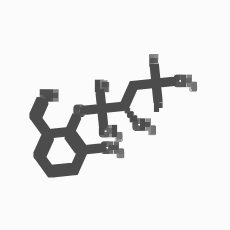 CCC(C)(Oc1c(C)cccc1C=N)[C@@H](C)CC(C)(F)F